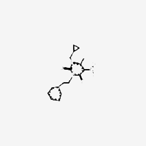 Cc1c([N+](=O)[O-])c(=O)n(CCc2ccccc2)c(=O)n1CC1CC1